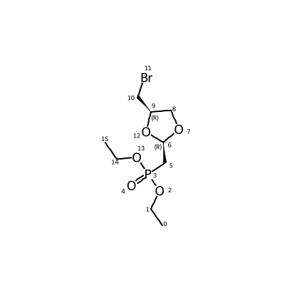 CCOP(=O)(C[C@@H]1OC[C@H](CBr)O1)OCC